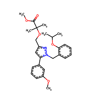 COC(=O)C(C)(C)OCc1cc(-c2cccc(OC)c2)n(Cc2ccccc2OC(C)C)n1